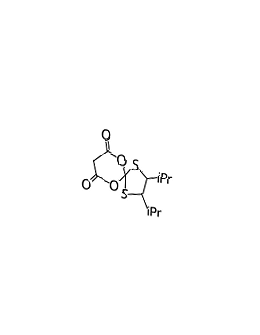 CC(C)C1SC2(OC(=O)CC(=O)O2)SC1C(C)C